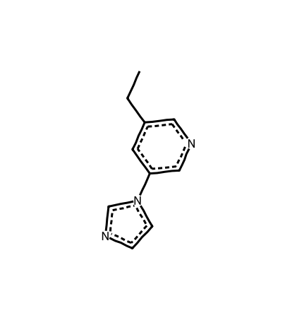 CCc1cncc(-n2ccnc2)c1